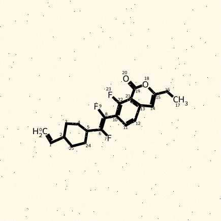 C=CC1CCC(/C(F)=C(\F)c2ccc3cc(CC)oc(=O)c3c2F)CC1